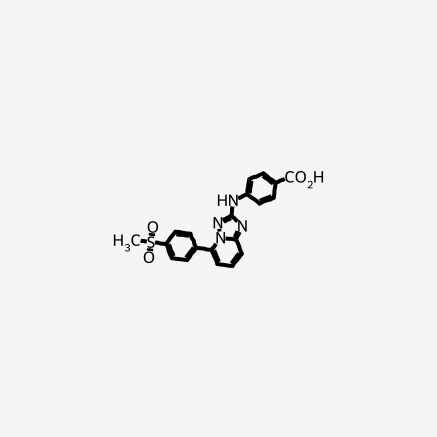 CS(=O)(=O)c1ccc(-c2cccc3nc(Nc4ccc(C(=O)O)cc4)nn23)cc1